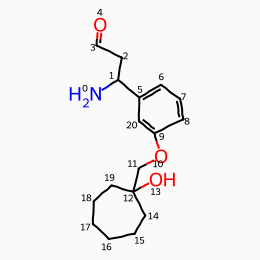 NC(CC=O)c1cccc(OCC2(O)CCCCCC2)c1